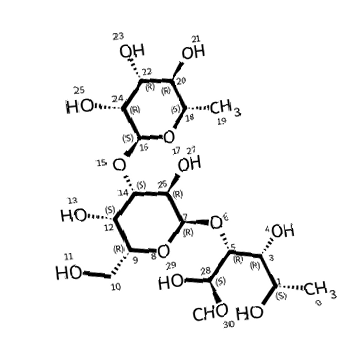 C[C@H](O)[C@@H](O)[C@@H](O[C@H]1O[C@H](CO)[C@H](O)[C@H](O[C@@H]2O[C@@H](C)[C@H](O)[C@@H](O)[C@H]2O)[C@H]1O)[C@H](O)C=O